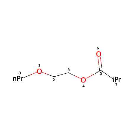 CCCOCCOC(=O)C(C)C